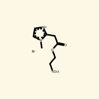 CCCCCCCCCCOC(=O)Cc1[nH]cc[n+]1C.[Br-]